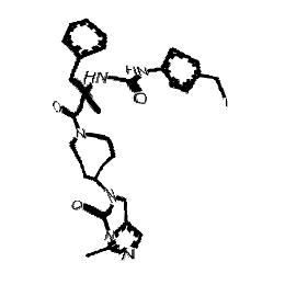 Cc1ncc2n1C(=O)N(C1CCN(C(=O)C(C)(Cc3ccccc3)NC(=O)Nc3ccc(CI)cc3)CC1)C2